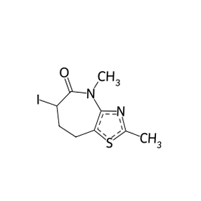 Cc1nc2c(s1)CCC(I)C(=O)N2C